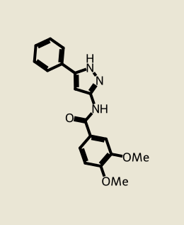 COc1ccc(C(=O)Nc2cc(-c3ccccc3)[nH]n2)cc1OC